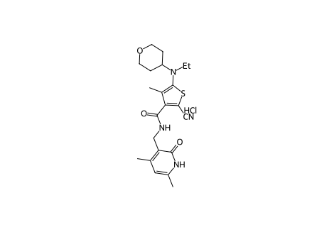 CCN(c1sc(C#N)c(C(=O)NCc2c(C)cc(C)[nH]c2=O)c1C)C1CCOCC1.Cl